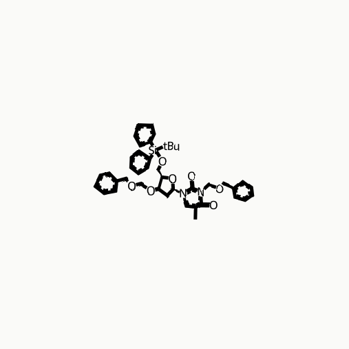 Cc1cn([C@H]2CC(OCOCc3ccccc3)[C@@H](CO[Si](c3ccccc3)(c3ccccc3)C(C)(C)C)O2)c(=O)n(COCc2ccccc2)c1=O